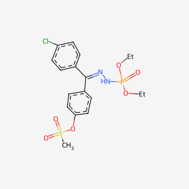 CCOP(=O)(NN=C(c1ccc(Cl)cc1)c1ccc(OS(C)(=O)=O)cc1)OCC